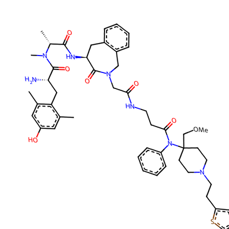 COCC1(N(C(=O)CCNC(=O)CN2Cc3ccccc3C[C@H](NC(=O)[C@@H](C)N(C)C(=O)[C@@H](N)Cc3c(C)cc(O)cc3C)C2=O)c2ccccc2)CCN(CCc2cccs2)CC1